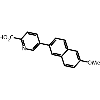 COc1ccc2cc(-c3ccc(C(=O)O)nc3)ccc2c1